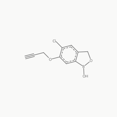 C#CCOc1cc2c(cc1Cl)COB2O